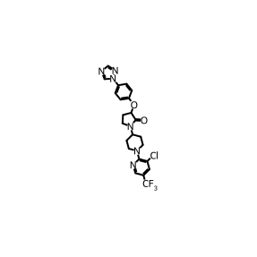 O=C1C(Oc2ccc(-n3cncn3)cc2)CCN1C1CCN(c2ncc(C(F)(F)F)cc2Cl)CC1